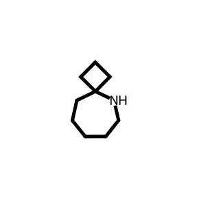 C1CCNC2(CC1)CCC2